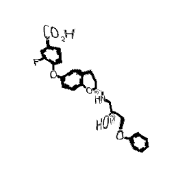 O=C(O)c1ccc(Oc2ccc3c(c2)CC[C@H](CNC[C@H](O)COc2ccccc2)O3)c(F)c1